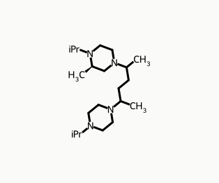 CC(C)N1CCN(C(C)CCC(C)N2CCN(C(C)C)[C@H](C)C2)CC1